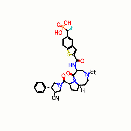 CCN1CC[C@H]2CC[C@@H](C(=O)N3C[C@@H](C#N)[C@H](c4ccccc4)C3)N2C(=O)C(NC(=O)c2cc3cc([C@H](F)P(=O)(O)O)ccc3s2)C1